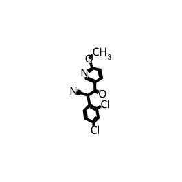 COc1ccc(C(=O)C(C#N)c2ccc(Cl)cc2Cl)cn1